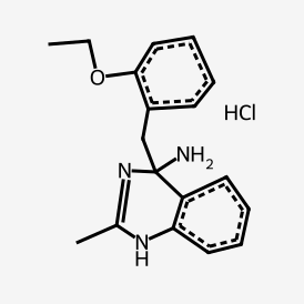 CCOc1ccccc1CC1(N)N=C(C)Nc2ccccc21.Cl